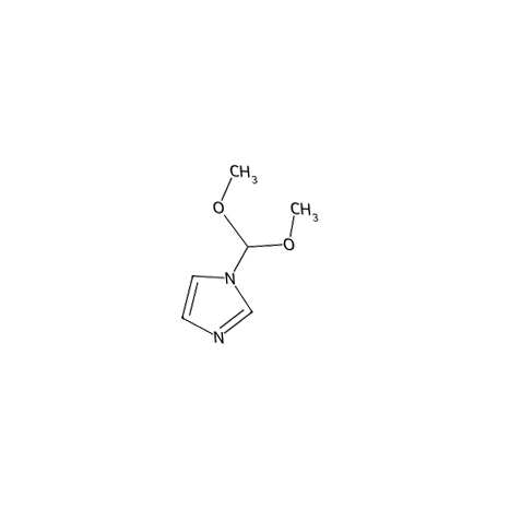 COC(OC)n1ccnc1